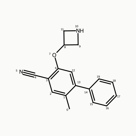 Cc1cc(C#N)c(OC2CNC2)cc1-c1ccccc1